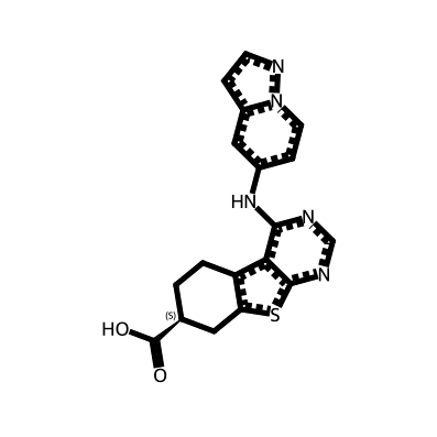 O=C(O)[C@H]1CCc2c(sc3ncnc(Nc4ccn5nccc5c4)c23)C1